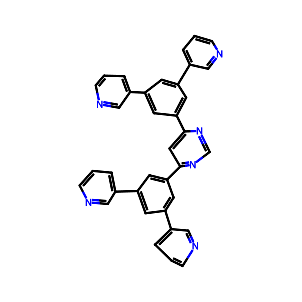 c1cncc(-c2cc(-c3cccnc3)cc(-c3cc(-c4cc(-c5cccnc5)cc(-c5cccnc5)c4)ncn3)c2)c1